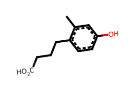 Cc1cc(O)ccc1CCCC(=O)O